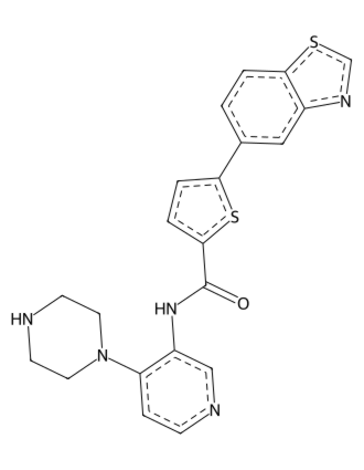 O=C(Nc1cnccc1N1CCNCC1)c1ccc(-c2ccc3scnc3c2)s1